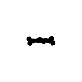 CC1(C)c2cc(/C=C/c3ccc4c(c3)c3ccccc3n4-c3ccccc3)ccc2-c2cc3c(cc21)-c1ccc(-c2ccc4c(c2)c2ccccc2n4-c2ccccc2)cc1C3(C)C